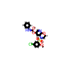 COc1ccc(Cl)cc1S(=O)(=O)N1CCOc2ncc(OC(=O)Nc3ccccc3)cc21